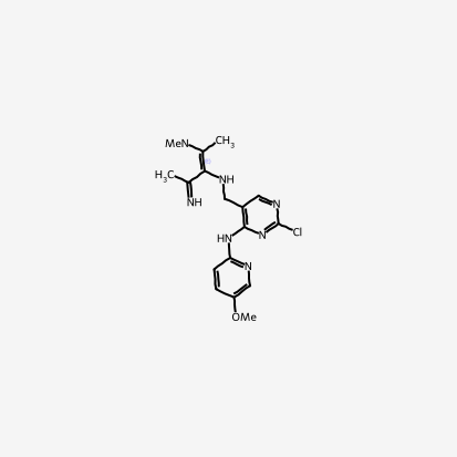 CN/C(C)=C(/NCc1cnc(Cl)nc1Nc1ccc(OC)cn1)C(C)=N